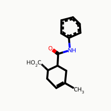 CC1=CCC(C(=O)O)C(C(=O)Nc2ccccc2)C1